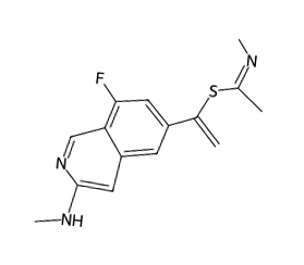 C=C(S/C(C)=N\C)c1cc(F)c2cnc(NC)cc2c1